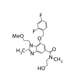 COCCn1c(C)nc2cc(C(=O)N(C)CCO)cc(OCc3ccc(F)cc3F)c21